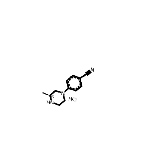 C[C@H]1CN(c2ccc(C#N)cc2)CCN1.Cl